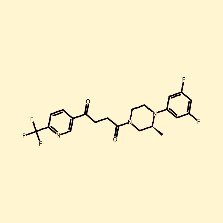 C[C@H]1CN(C(=O)CCC(=O)c2ccc(C(F)(F)F)nc2)CCN1c1cc(F)cc(F)c1